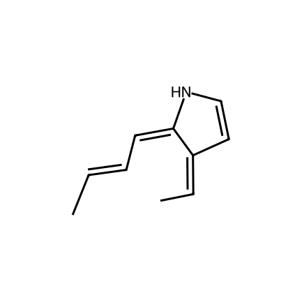 C/C=c1/cc[nH]/c1=C/C=C/C